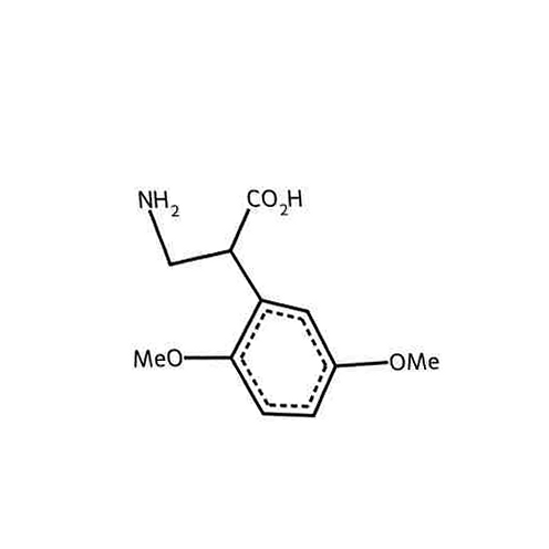 COc1ccc(OC)c(C(CN)C(=O)O)c1